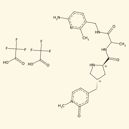 Cc1nc(N)ccc1CNC(=O)C(C)NC(=O)[C@H]1C[C@H](Cc2ccn(C)c(=O)c2)CN1.O=C(O)C(F)(F)F.O=C(O)C(F)(F)F